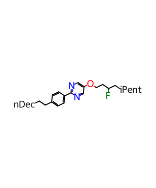 CCCCCCCCCCCCc1ccc(-c2ncc(OCCC(F)CC(C)CCC)cn2)cc1